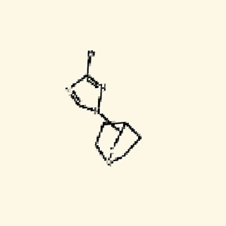 Brc1ncn(C2CN3CCC2CC3)n1